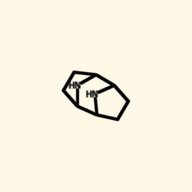 C1CC2NC1C1CCC2N1